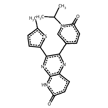 Cc1ccc(-c2nc3[nH]c(=O)ccc3nc2-c2ccc(=O)n(C(C)C)c2)s1